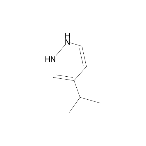 CC(C)C1=CNNC=C1